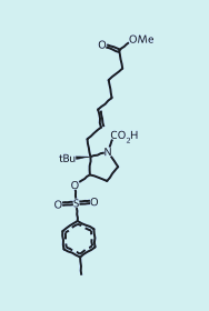 COC(=O)CCCC=CC[C@@]1(C(C)(C)C)C(OS(=O)(=O)c2ccc(C)cc2)CCN1C(=O)O